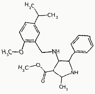 COC(=O)C1C(C)NC(c2ccccc2)C1NCc1cc(C(C)C)ccc1OC